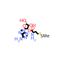 CSSCCC(N)C(=O)O[C@@H]1[C@H](O)[C@@H](CO)O[C@H]1n1cnc2c(N)ncnc21